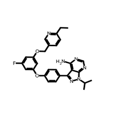 CCc1ccc(COc2cc(F)cc(Oc3ccc(-c4nn(C(C)C)c5ncnc(N)c45)cc3)c2)cn1